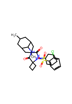 CC1CC2CC(C)(C(=O)NC3CCCCC3)CC(C1)C2NC(=O)C1(NS(=O)(=O)c2ccccc2Cl)CCC1